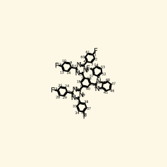 Fc1ccc(-c2nc(-c3ccc(F)cc3)nc(-c3cc(-c4nc(-c5ccc(F)cc5)nc(-c5ccc(F)cc5)n4)cc(-c4nc5ccccc5n4-c4cccc(F)c4)c3)n2)cc1